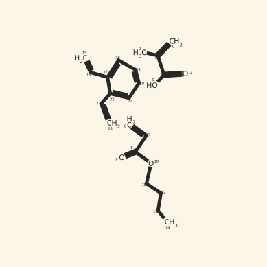 C=C(C)C(=O)O.C=CC(=O)OCCCC.C=Cc1ccccc1C=C